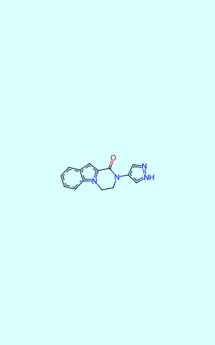 O=C1c2cc3ccccc3n2CCN1c1cn[nH]c1